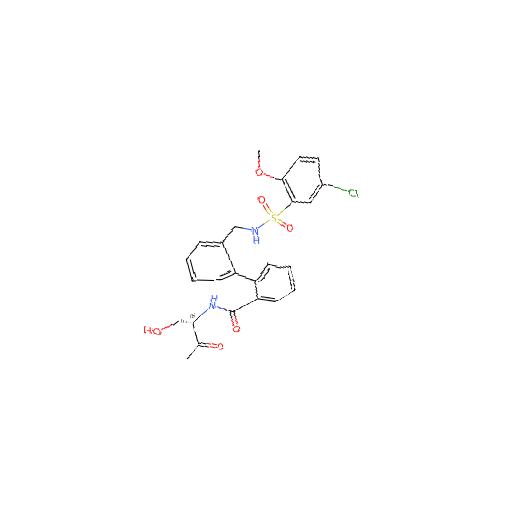 COc1ccc(Cl)cc1S(=O)(=O)NCc1ccccc1-c1ccccc1C(=O)N[C@@H](CO)C(C)=O